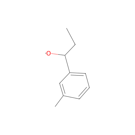 CCC([O])c1cccc(C)c1